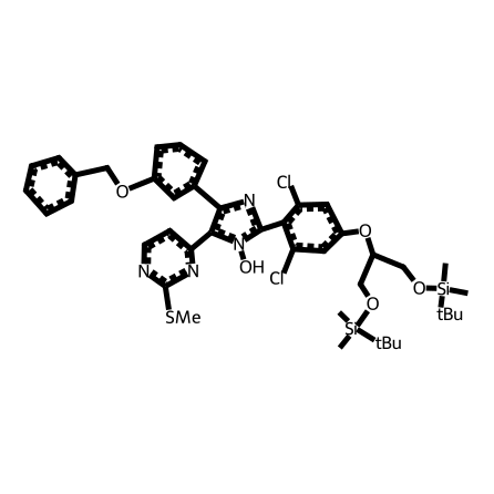 CSc1nccc(-c2c(-c3cccc(OCc4ccccc4)c3)nc(-c3c(Cl)cc(OC(CO[Si](C)(C)C(C)(C)C)CO[Si](C)(C)C(C)(C)C)cc3Cl)n2O)n1